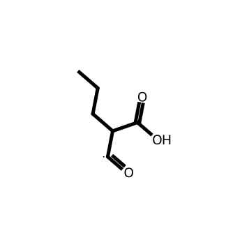 CCCC([C]=O)C(=O)O